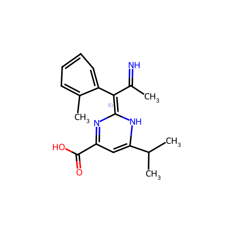 CC(=N)/C(=C1/N=C(C(=O)O)C=C(C(C)C)N1)c1ccccc1C